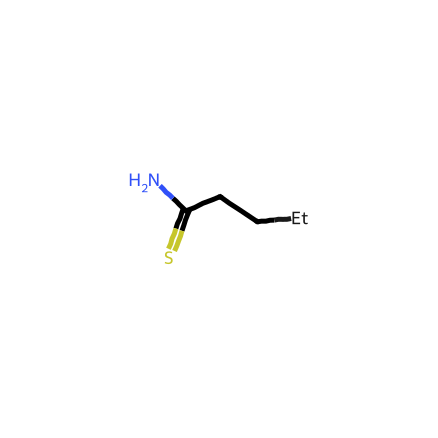 CCCCC(N)=S